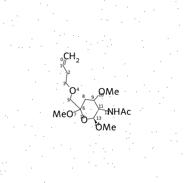 C=CCCOCC1(OC)CC(OC)C(NC(C)=O)[C@@H](OC)O1